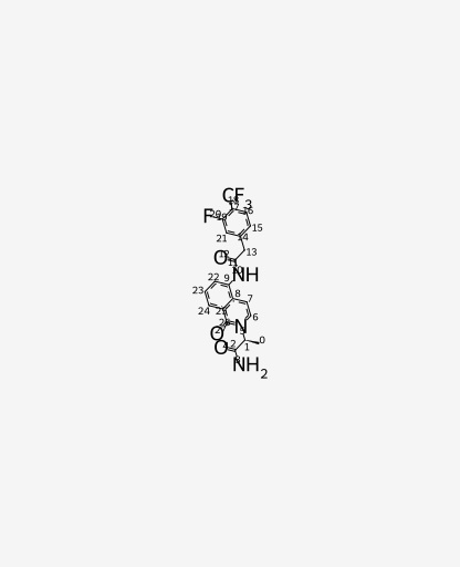 C[C@@H](C(N)=O)n1ccc2c(NC(=O)Cc3ccc(C(F)(F)F)c(F)c3)cccc2c1=O